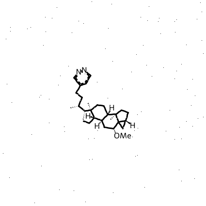 CO[C@@H]1C[C@H]2[C@@H]3CC[C@H]([C@H](C)CCc4ccnnc4)[C@@]3(C)CC[C@@H]2[C@@]2(C)CC[C@@H]3CC312